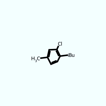 CCC(C)c1ccc(C)cc1Cl